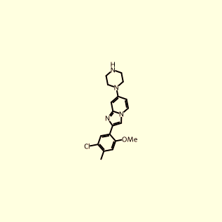 COc1cc(C)c(Cl)cc1-c1cn2ccc(N3CCNCC3)cc2n1